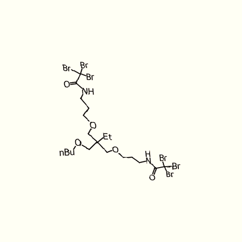 CCCCOCC(CC)(COCCCNC(=O)C(Br)(Br)Br)COCCCNC(=O)C(Br)(Br)Br